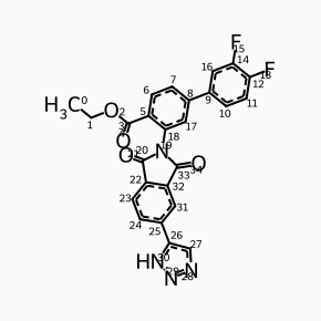 CCOC(=O)c1ccc(-c2ccc(F)c(F)c2)cc1N1C(=O)c2ccc(-c3cnn[nH]3)cc2C1=O